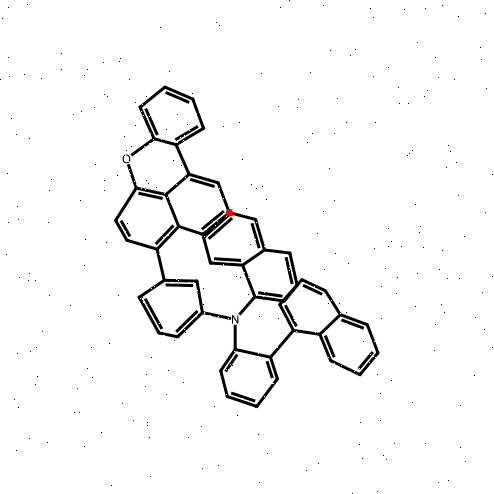 c1cc(-c2ccc3c4c(cccc24)-c2ccccc2O3)cc(N(c2ccccc2-c2cccc3ccccc23)c2cccc3ccccc23)c1